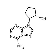 Nc1ncnc2c1ncn2[C@H]1CCC[C@@H]1O